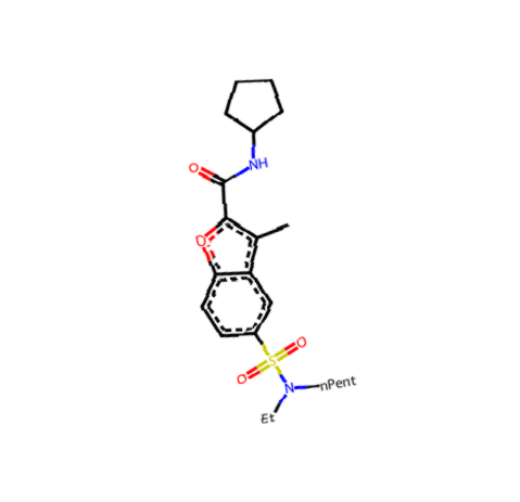 CCCCCN(CC)S(=O)(=O)c1ccc2oc(C(=O)NC3CCCC3)c(C)c2c1